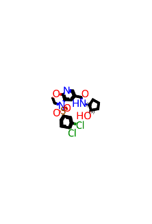 O=C(N[C@H]1CCC[C@@H]1O)c1cnc2c(c1)N(S(=O)(=O)c1ccc(Cl)c(Cl)c1)CCO2